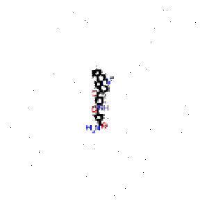 CN(C)C1C=c2ccccc2=c2ccc3c(c21)CCCC=3C(=O)c1ccc(NC(=O)c2ccc(C(N)=O)cc2)cc1